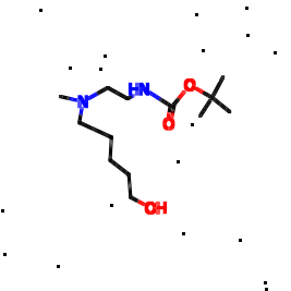 CN(CCCCCO)CCNC(=O)OC(C)(C)C